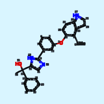 CSc1c(Oc2cccc(-c3ncc(C(C)(O)c4ccccc4)[nH]3)c2)ccc2[nH]ccc12